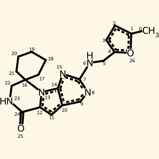 Cc1ccc(CNc2ncc3cc4n(c3n2)C2(CCCCC2)CNC4=O)o1